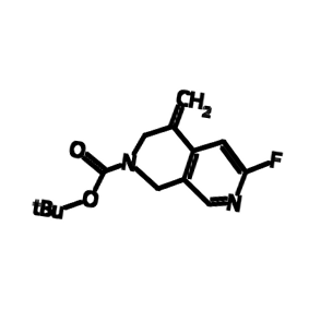 C=C1CN(C(=O)OC(C)(C)C)Cc2cnc(F)cc21